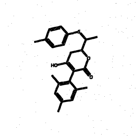 Cc1ccc(SC(C)C2CC(O)=C(c3c(C)cc(C)cc3C)C(=O)O2)cc1